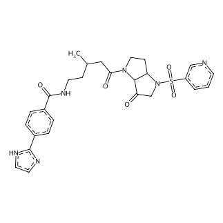 CC(CCNC(=O)c1ccc(-c2ncc[nH]2)cc1)CC(=O)N1CCC2C1C(=O)CN2S(=O)(=O)c1cccnc1